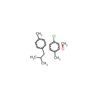 C=O.Cc1ccc(CC(C)C)cc1.Cc1ccc(Cl)cc1